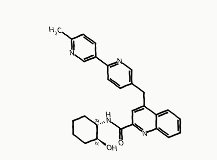 Cc1ccc(-c2ccc(Cc3cc(C(=O)N[C@H]4CCCC[C@@H]4O)nc4ccccc34)cn2)cn1